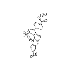 CC(C)(C)OC(=O)N1CCC(c2cn(S(C)(=O)=O)c3c(Nc4ccc(S(C)(=O)=O)cc4F)ncnc23)CC1